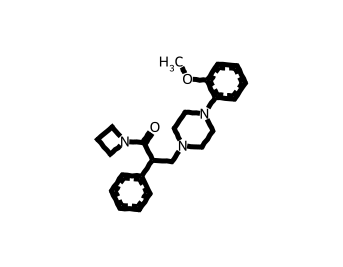 COc1ccccc1N1CCN(CC(C(=O)N2CCC2)c2ccccc2)CC1